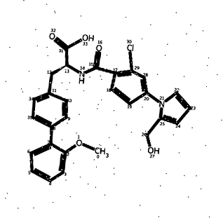 COc1ccccc1-c1ccc(C[C@H](NC(=O)c2ccc(-n3cccc3CO)cc2Cl)C(=O)O)cc1